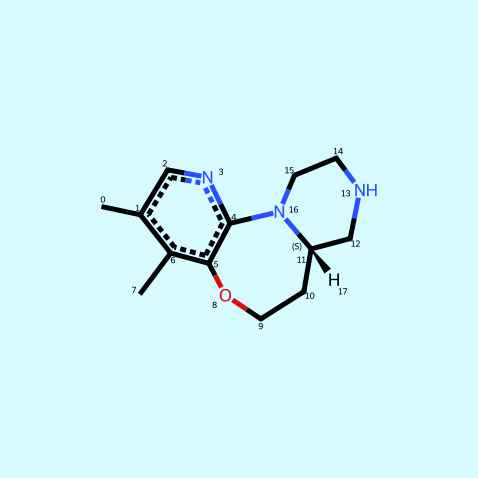 Cc1cnc2c(c1C)OCC[C@H]1CNCCN21